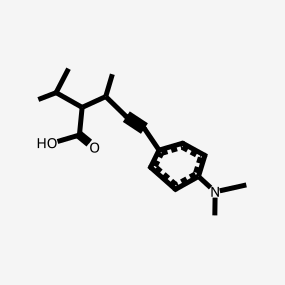 CC(C)C(C(=O)O)C(C)C#Cc1ccc(N(C)C)cc1